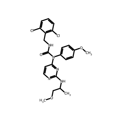 COCC(C)Nc1nccc(N(C(=O)NCc2c(Cl)cccc2Cl)c2ccc(OC)cc2)n1